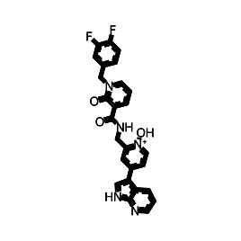 O=C(NCc1cc(-c2c[nH]c3ncccc23)cc[n+]1O)c1cccn(Cc2ccc(F)c(F)c2)c1=O